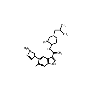 C=C(NC1CCN(CC(C)C)C[C@@H]1F)c1n[nH]c2cc(F)c(-c3cnn(C)c3)cc12